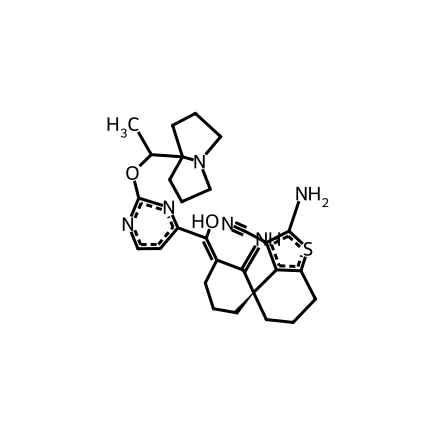 CC(Oc1nccc(/C(O)=C2\CCC[C@@]3(CCCc4sc(N)c(C#N)c43)C2=N)n1)C12CCCN1CCC2